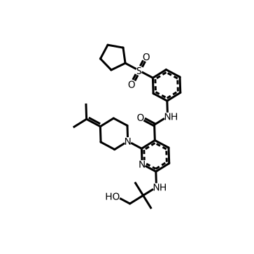 CC(C)=C1CCN(c2nc(NC(C)(C)CO)ccc2C(=O)Nc2cccc(S(=O)(=O)C3CCCC3)c2)CC1